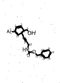 CC(=O)c1ccc(CO)c(C#CCNC(=O)OCc2ccccc2)c1